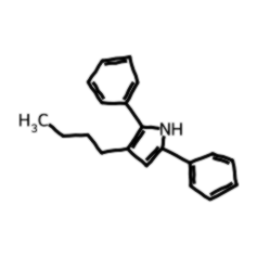 CCCCc1cc(-c2ccccc2)[nH]c1-c1ccccc1